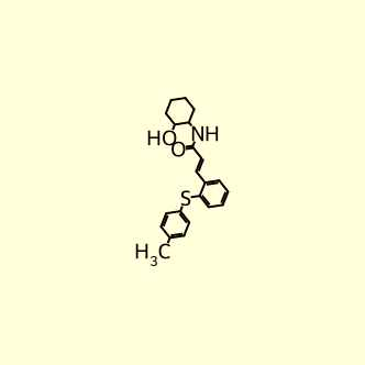 Cc1ccc(Sc2ccccc2C=CC(=O)NC2CCCCC2O)cc1